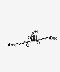 CCCCCCCCCCCCCCCC(=O)CC[C@@H](CNC(=O)CCCCCCCCCCCCCCC)C(=O)NCCO